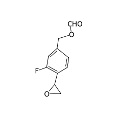 O=COCc1ccc(C2CO2)c(F)c1